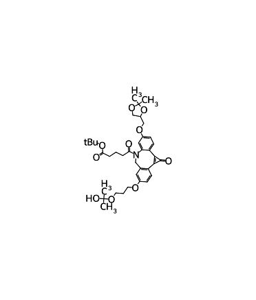 CC(C)(C)OC(=O)CCCC(=O)N1Cc2cc(OCCCOC(C)(C)O)ccc2-c2c(c2=O)-c2ccc(OCC3COC(C)(C)O3)cc21